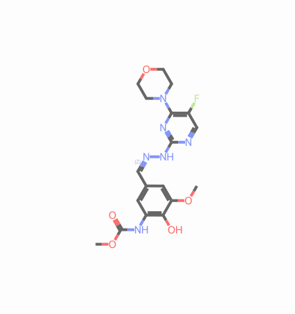 COC(=O)Nc1cc(/C=N\Nc2ncc(F)c(N3CCOCC3)n2)cc(OC)c1O